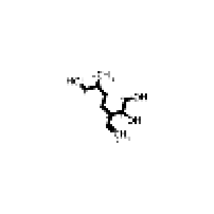 C=CC(CCC(C)CO)C(O)CO